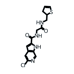 O=C(CNC(=O)c1cc2cc(Cl)ncc2[nH]1)NCC1CC=CS1